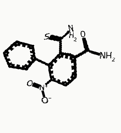 NC(=O)c1ccc([N+](=O)[O-])c(-c2ccccc2)c1C(N)=S